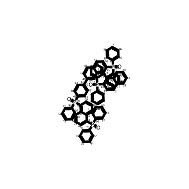 O=P(c1ccccc1)(c1ccccc1)c1ccc2ccccc2c1-c1c(P(=O)(c2ccccc2)c2ccccc2)ccc2ccc(-c3ccc(P(=O)(c4ccccc4)c4cccc5c(P(=O)(c6ccccc6)c6ccccc6)cccc45)cc3)cc12